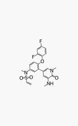 C=CS(=O)(=O)N(C)c1ccc(Oc2ccc(F)cc2F)c(-c2cc(NC)c(=O)n(C)c2)c1